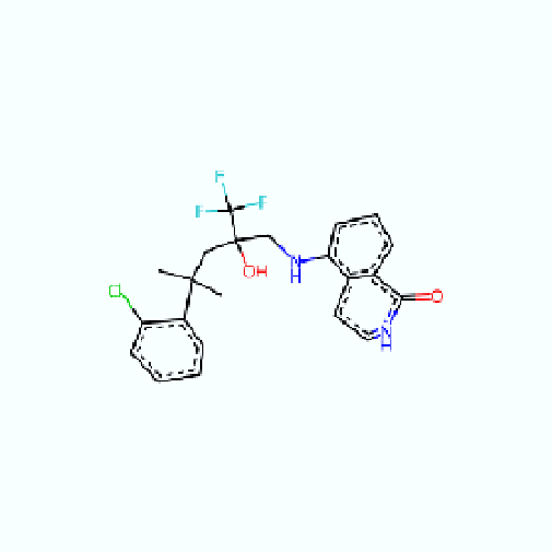 CC(C)(CC(O)(CNc1cccc2c(=O)[nH]ccc12)C(F)(F)F)c1ccccc1Cl